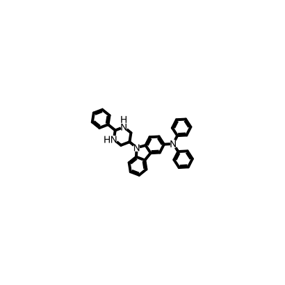 c1ccc(C2NCC(n3c4ccccc4c4cc(N(c5ccccc5)c5ccccc5)ccc43)CN2)cc1